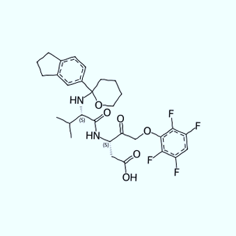 CC(C)[C@H](NC1(c2ccc3c(c2)CCC3)CCCCO1)C(=O)N[C@@H](CC(=O)O)C(=O)COc1c(F)c(F)cc(F)c1F